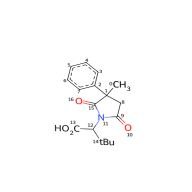 CC1(c2ccccc2)CC(=O)N(C(C(=O)O)C(C)(C)C)C1=O